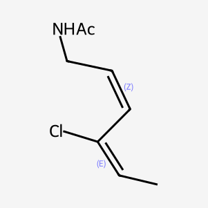 C/C=C(Cl)\C=C/CNC(C)=O